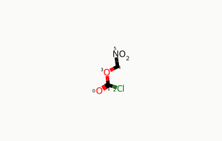 O=C(Cl)OC[N+](=O)[O-]